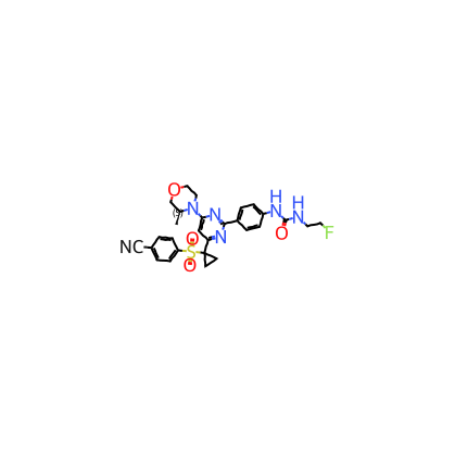 C[C@H]1COCCN1c1cc(C2(S(=O)(=O)c3ccc(C#N)cc3)CC2)nc(-c2ccc(NC(=O)NCCF)cc2)n1